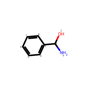 NC(O)c1cc[c]cc1